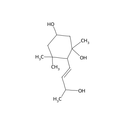 CC(O)C=CC1C(C)(C)CC(O)CC1(C)O